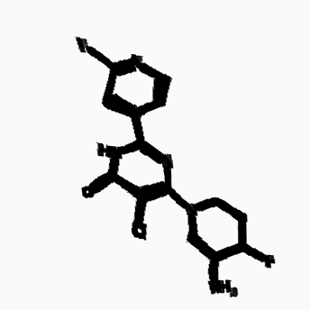 NC1CN(c2nc(-c3ccnc(F)c3)[nH]c(=O)c2Cl)CCC1F